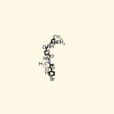 C/C(=N\NC(=O)c1ccc(C(=O)NCc2cc(C)n(C)n2)s1)c1csc(-c2ccc(Br)cc2)c1O